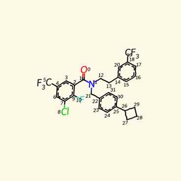 O=C(c1cc(C(F)(F)F)cc(Cl)c1F)N(CCc1cccc(C(F)(F)F)c1)Cc1ccc(C2CCC2)cc1